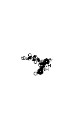 CC(C)(C)OC(=O)N1CCN(CCNC(=O)c2c(-c3cc4cc(Cl)ccc4[nH]3)[nH]c3cc(Br)ccc23)C(=O)C1